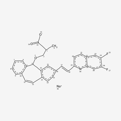 CC(COC1c2ccccc2C=Cc2ccc(/C=C/c3ccc4cc(F)c(F)cc4n3)cc21)C(=O)[O-].[Na+]